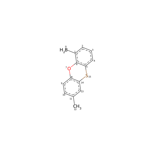 Bc1cccc2c1Oc1ccc(C)cc1S2